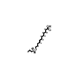 CCCS(=O)(=O)OCCCCCCCCCCCC(=O)O